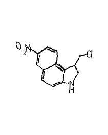 O=[N+]([O-])c1ccc2c3c(ccc2c1)NCC3CCl